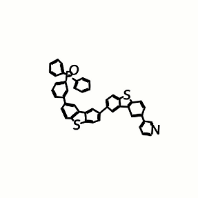 O=P(c1ccccc1)(c1ccccc1)c1cccc(-c2ccc3sc4ccc(-c5ccc6sc7ccc(-c8cccnc8)cc7c6c5)cc4c3c2)c1